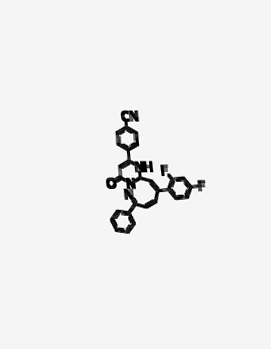 N#Cc1ccc(C2=CC(=O)N3N=C(c4ccccc4)C=CC(c4ccc(F)cc4F)=CC3N2)cc1